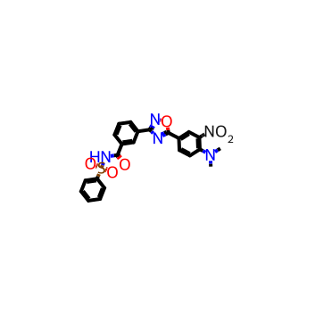 CN(C)c1ccc(-c2nc(-c3cccc(C(=O)NS(=O)(=O)c4ccccc4)c3)no2)cc1[N+](=O)[O-]